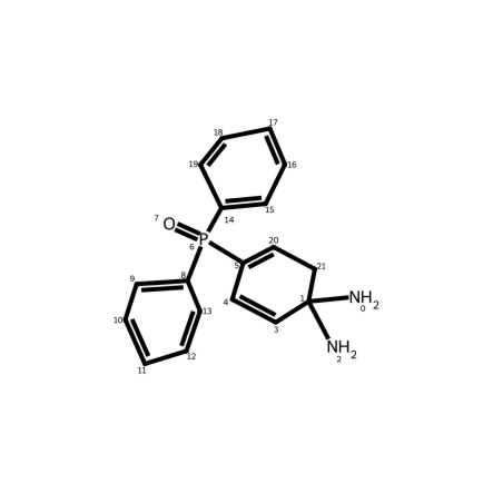 NC1(N)C=CC(P(=O)(c2ccccc2)c2ccccc2)=CC1